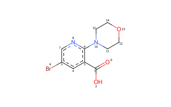 O=C(O)c1cc(Br)cnc1N1CCOCC1